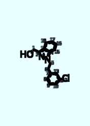 OCc1nn(CCc2cccc(Cl)c2)c2ccccc12